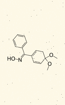 COC1(OC)C=CC(C(=NO)c2ccccc2)=CC1